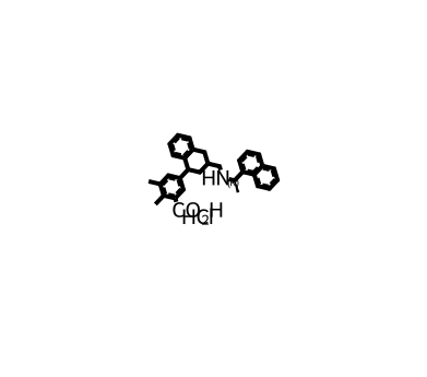 Cc1cc(C2CC(CN[C@H](C)c3cccc4ccccc34)Cc3ccccc32)cc(C(=O)O)c1C.Cl